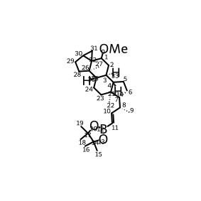 COC1C[C@H]2[C@@H]3CC[C@H]([C@H](C)/C=C/B4OC(C)(C)C(C)(C)O4)[C@@]3(C)CC[C@@H]2[C@@]2(C)CCC3CC312